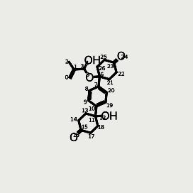 C=C(C)C(O)OC1(c2ccc(C3(O)CCC(=O)CC3)cc2)CCC(=O)CC1